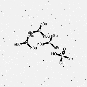 CCCCN(CCCC)CCCC.CCCCN(CCCC)CCCC.CCCCN(CCCC)CCCC.O=P(O)(O)S